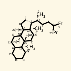 CCC(CC[C@@H](C)[C@H]1CC[C@H]2[C@@H]3CCC4CCCC[C@]4(C)[C@H]3CC[C@]12C)C(C)C